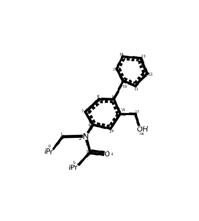 CC(C)CN(C(=O)C(C)C)c1ccc(-c2ccccc2)c(CO)c1